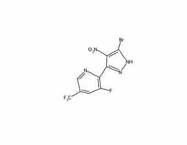 O=[N+]([O-])c1c(-c2ncc(C(F)(F)F)cc2F)n[nH]c1Br